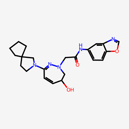 O=C(CN1CC(O)C=CC(N2CCC3(CCCC3)C2)=N1)Nc1ccc2ocnc2c1